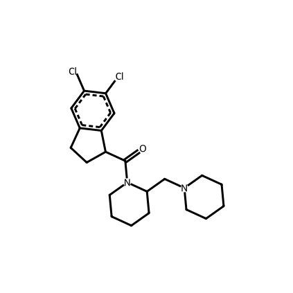 O=C(C1CCc2cc(Cl)c(Cl)cc21)N1CCCCC1CN1CCCCC1